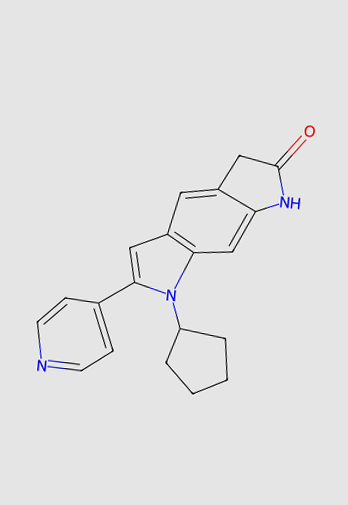 O=C1Cc2cc3cc(-c4ccncc4)n(C4CCCC4)c3cc2N1